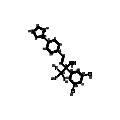 OC(/C=C/c1ccc(-n2cncn2)cc1)(c1cc(Cl)cc(Cl)c1)C(F)(F)F